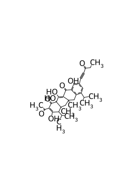 CCC(=O)C#Cc1cc(C(C)C)c2c(c1O)C(=O)C1=C(O)[C@@]3(O)C(=O)C(C(C)=O)=C(O)C(C(C)C)[C@@]3(C)C[C@@]1(C)C2